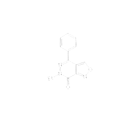 CCn1nc(-c2ccccc2)c2conc2c1=O